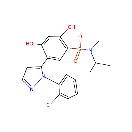 CC(C)N(C)S(=O)(=O)c1cc(-c2ccnn2-c2ccccc2Cl)c(O)cc1O